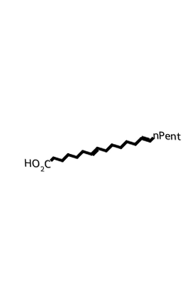 CCCCCC=CCCCCCC=CCCCCCC(=O)O